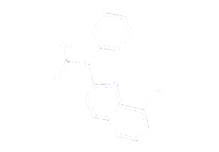 O=C(O)N(c1ccccc1)c1ccc2cccc(Br)c2n1